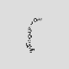 O=[N+]([O-])c1cn2c(n1)O[C@H](COc1ccc(N3CCN(CCCCCc4ccc(OC(F)(F)F)cc4)CC3)cc1)CC2